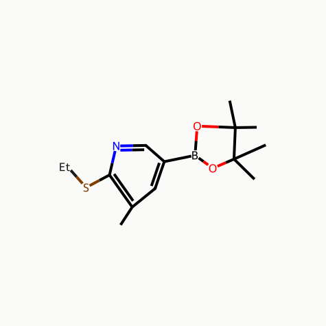 CCSc1ncc(B2OC(C)(C)C(C)(C)O2)cc1C